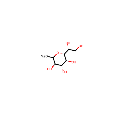 COC1O[C@H]([C@H](O)CO)[C@@H](O)[C@H](O)[C@H]1O